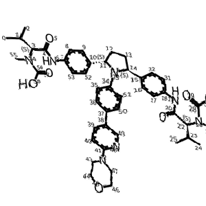 CC(C)[C@@H](C(=O)Nc1ccc([C@@H]2CC[C@@H](c3ccc(NC(=O)[C@H](C(C)C)N(C)C(=O)O)cc3)N2c2ccc(-c3ccc(N4CCOCC4)nc3)cc2)cc1)N(C)C(=O)O